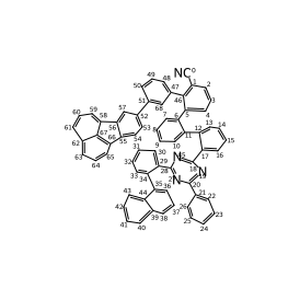 N#Cc1cccc(-c2ccccc2-c2ccccc2-c2nc(-c3ccccc3)nc(-c3ccccc3-c3cccc4ccccc34)n2)c1-c1cccc(-c2ccc3c(c2)-c2cccc4cccc-3c24)c1